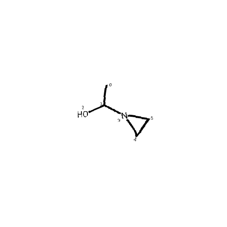 CC(O)N1CC1